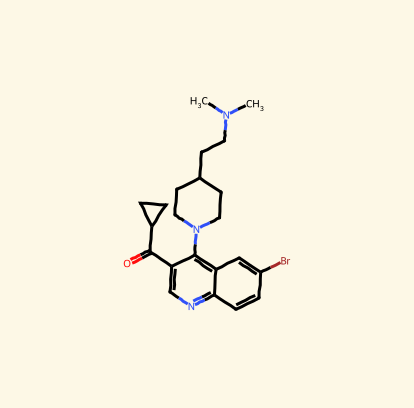 CN(C)CCC1CCN(c2c(C(=O)C3CC3)cnc3ccc(Br)cc23)CC1